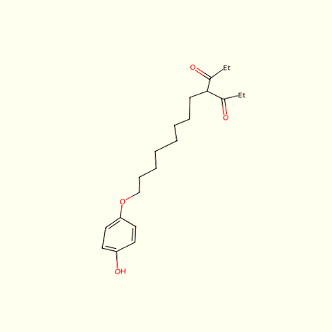 CCC(=O)C(CCCCCCCCOc1ccc(O)cc1)C(=O)CC